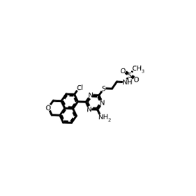 CS(=O)(=O)NCCSc1nc(N)nc(-c2c(Cl)cc3c4c(cccc24)COC3)n1